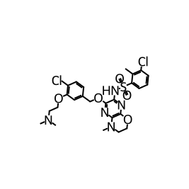 Cc1c(Cl)cccc1S(=O)(=O)Nc1nc2c(nc1OCc1ccc(Cl)c(OCCN(C)C)c1)N(C)CCO2